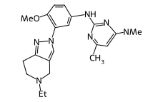 CCN1CCc2nn(-c3cc(Nc4nc(C)cc(NC)n4)ccc3OC)cc2C1